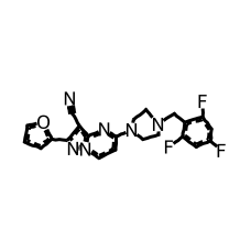 N#Cc1c(-c2ccco2)nn2ccc(N3CCN(Cc4c(F)cc(F)cc4F)CC3)nc12